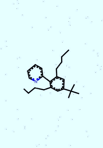 CCCCc1cc(C(C)(C)C)cc(CCCC)c1-c1ccccn1